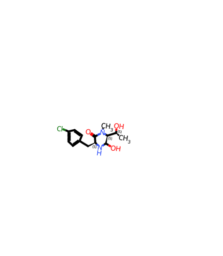 C[C@H](O)[C@H]1C(O)N[C@@H](Cc2ccc(Cl)cc2)C(=O)N1C